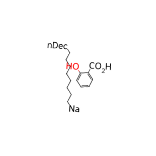 CCCCCCCCCCCCCCCCC[CH2][Na].O=C(O)c1ccccc1O